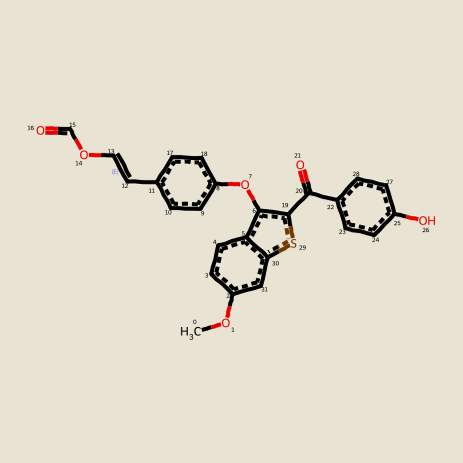 COc1ccc2c(Oc3ccc(/C=C/OC=O)cc3)c(C(=O)c3ccc(O)cc3)sc2c1